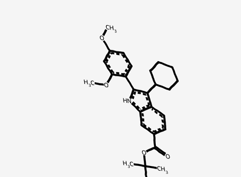 COc1ccc(-c2[nH]c3cc(C(=O)OC(C)(C)C)ccc3c2C2CCCCC2)c(OC)c1